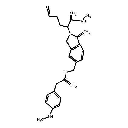 C=C(Cc1ccc(NC)cc1)NCc1ccc2c(c1)CN(C(CCC=O)C(=C)NC)C2=C